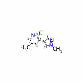 Cc1cnc(Cl)c(-c2cnn(C)c2)c1